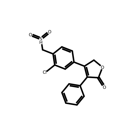 O=C1OCC(c2ccc(C[SH](=O)=O)c(Cl)c2)=C1c1ccccc1